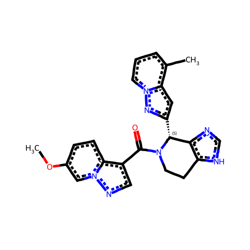 COc1ccc2c(C(=O)N3CCc4[nH]cnc4[C@H]3c3cc4c(C)cccn4n3)cnn2c1